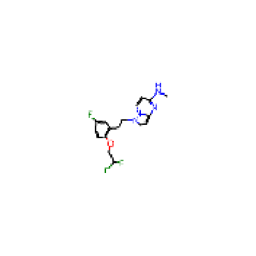 CNC1=NC2=CCN(CCc3cc(F)ccc3OCC(F)F)N2C=C1